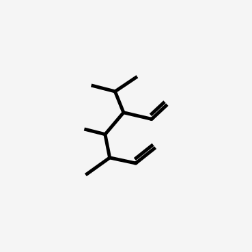 C=CC(C)C(C)C(C=C)[C](C)C